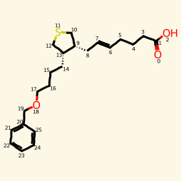 O=C(O)CCCC=CC[C@H]1CSC[C@H]1CCCCOCc1ccccc1